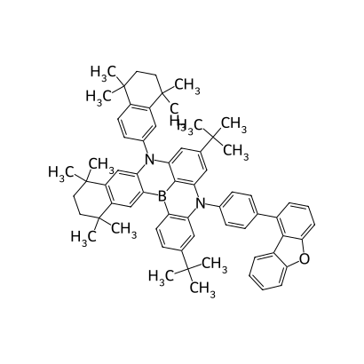 CC(C)(C)c1ccc2c(c1)N(c1ccc(-c3cccc4oc5ccccc5c34)cc1)c1cc(C(C)(C)C)cc3c1B2c1cc2c(cc1N3c1ccc3c(c1)C(C)(C)CCC3(C)C)C(C)(C)CCC2(C)C